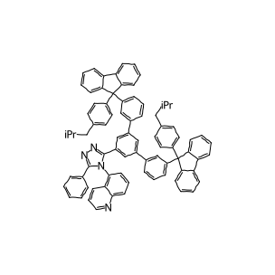 CC(C)Cc1ccc(C2(c3cccc(-c4cc(-c5cccc(C6(c7ccc(CC(C)C)cc7)c7ccccc7-c7ccccc76)c5)cc(-c5nnc(-c6ccccc6)n5-c5cccc6ncccc56)c4)c3)c3ccccc3-c3ccccc32)cc1